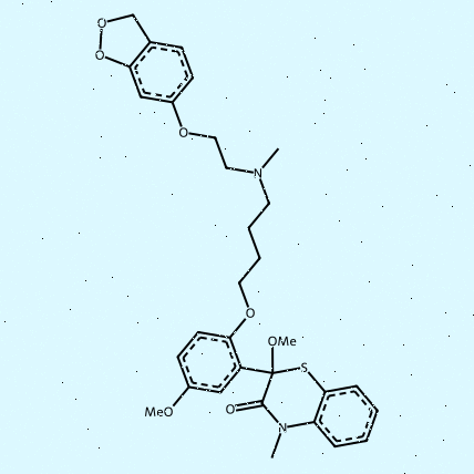 COc1ccc(OCCCCN(C)CCOc2ccc3c(c2)OOC3)c(C2(OC)Sc3ccccc3N(C)C2=O)c1